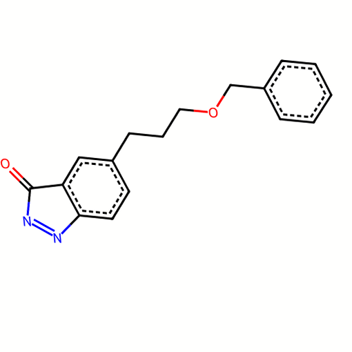 O=C1N=Nc2ccc(CCCOCc3ccccc3)cc21